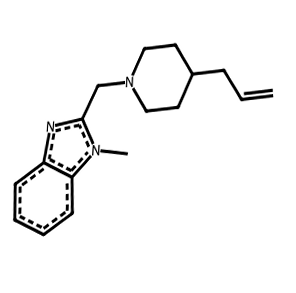 C=CCC1CCN(Cc2nc3ccccc3n2C)CC1